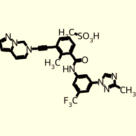 CS(=O)(=O)O.Cc1ncn(-c2cc(NC(=O)c3cccc(C#CN4C=Cc5ccnn5C4)c3C)cc(C(F)(F)F)c2)n1